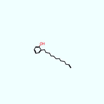 C=CCCCCCCCCCCc1ccccc1O